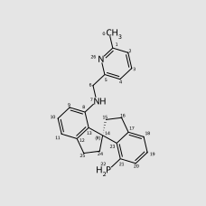 Cc1cccc(CNc2cccc3c2[C@]2(CCc4cccc(P)c42)CC3)n1